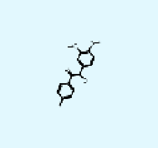 COc1ccc(C(O)C(=O)c2ccc(C)cc2)cc1OC